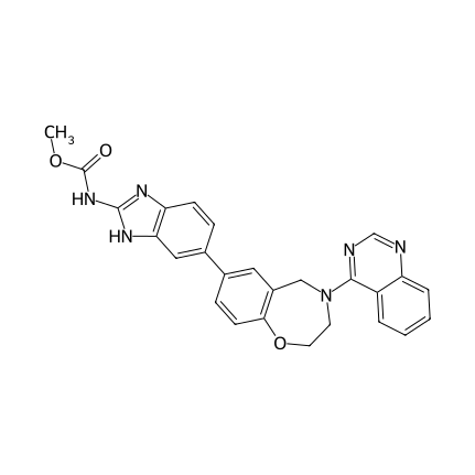 COC(=O)Nc1nc2ccc(-c3ccc4c(c3)CN(c3ncnc5ccccc35)CCO4)cc2[nH]1